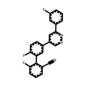 N#Cc1cccc(F)c1-c1cc(-c2cnnc(-c3cccc(F)c3)c2)ccc1F